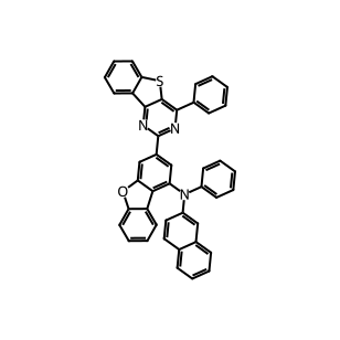 c1ccc(-c2nc(-c3cc(N(c4ccccc4)c4ccc5ccccc5c4)c4c(c3)oc3ccccc34)nc3c2sc2ccccc23)cc1